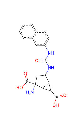 NC1(C(=O)O)CC(NC(=O)Nc2ccc3ccccc3c2)C2C(C(=O)O)C21